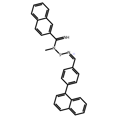 CN(S/N=C\c1ccc(-c2cccc3ccccc23)cc1)C(=N)c1ccc2ccccc2c1